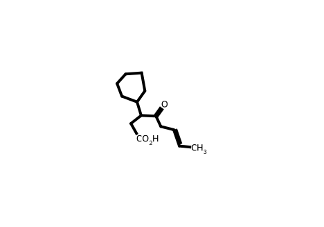 CC=CCC(=O)C(CC(=O)O)C1CCCCC1